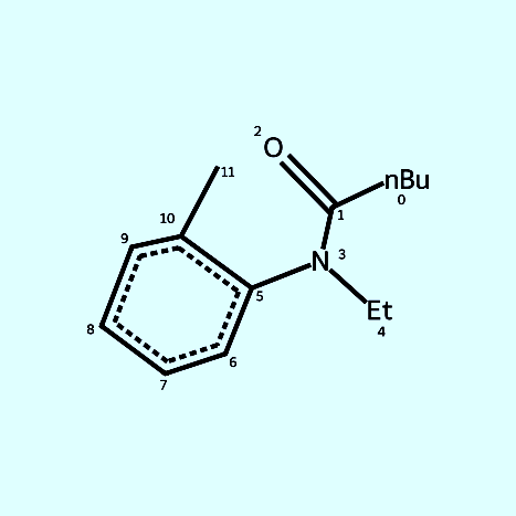 CCCCC(=O)N(CC)c1ccccc1C